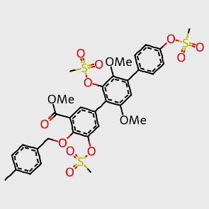 COC(=O)c1cc(-c2c(OC)cc(-c3ccc(OS(C)(=O)=O)cc3)c(OC)c2OS(C)(=O)=O)cc(OS(C)(=O)=O)c1OCc1ccc(C)cc1